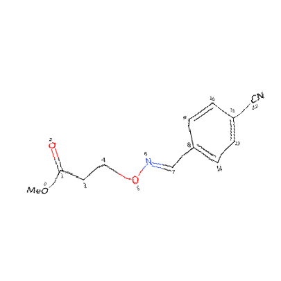 COC(=O)CCON=Cc1ccc(C#N)cc1